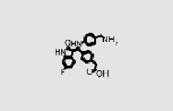 NCc1ccc(N/C(=C2\C(=O)Nc3cc(F)ccc32)c2ccc(CC(=O)O)cc2)cc1